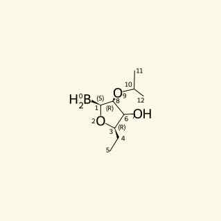 B[C@@H]1O[C@H](CC)C(O)[C@@H]1OC(C)C